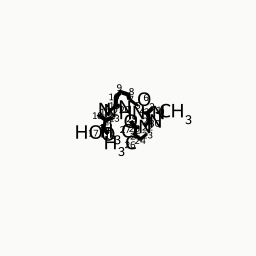 Cn1cc(NC(=O)c2cccc(-n3cc(C(=O)O)cn3)n2)c(N2CCC(C)(C)C2=O)n1